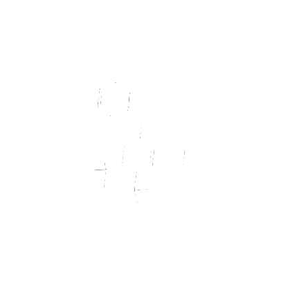 CCCCC(Oc1cc2c(cc1[Se]c1ccc(C(=O)O)cn1)C(C)(C)CCC2(C)C)O[Si](C)(C)C(C)(C)C